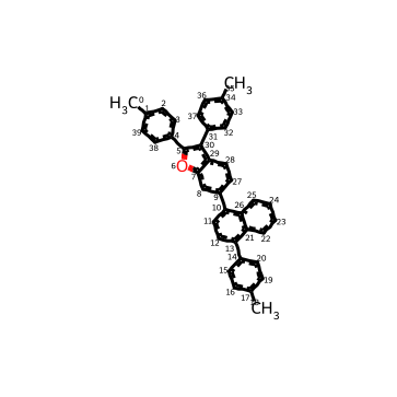 Cc1ccc(-c2oc3cc(-c4ccc(-c5ccc(C)cc5)c5ccccc45)ccc3c2-c2ccc(C)cc2)cc1